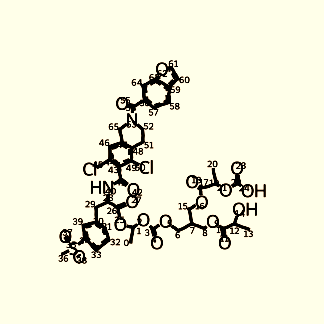 CC(OC(=O)OCC(COC(=O)C(C)O)COC(=O)C(C)OC(=O)O)OC(=O)C(Cc1cccc(S(C)(=O)=O)c1)NC(=O)c1c(Cl)cc2c(c1Cl)CCN(C(=O)c1ccc3ccoc3c1)C2